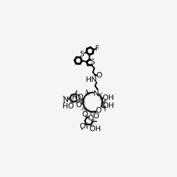 CO[C@]1(C)C[C@H](O[C@H]2[C@H](C)[C@@H](O[C@@H]3O[C@H](C)C[C@H](N(C)C)[C@H]3O)[C@](C)(O)C[C@@H](C)CN(CCCNC(=O)CCc3cc4c(s3)-c3cc(F)ccc3Sc3ccccc3-4)[C@H](C)[C@@H](O)[C@](C)(O)[C@@H](I)OC(=O)[C@@H]2C)O[C@@H](C)[C@@H]1O